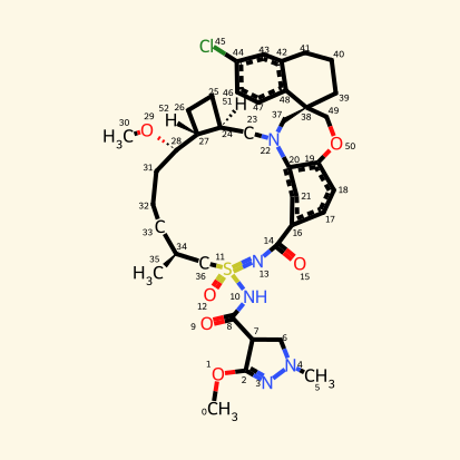 COC1=NN(C)CC1C(=O)NS1(=O)=NC(=O)c2ccc3c(c2)N(C[C@@H]2CC[C@H]2[C@@H](OC)CCC[C@H](C)C1)C[C@@]1(CCCc2cc(Cl)ccc21)CO3